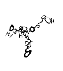 CC(CCCC[C@@H](NC(=O)[C@@H](N)Cc1ccccc1)C(=O)Nc1ccc(CSCCC(=O)O)cc1)C(=O)OCc1ccccc1